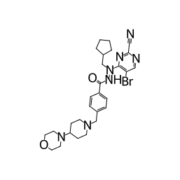 N#Cc1ncc(Br)c(N(CC2CCCC2)NC(=O)c2ccc(CN3CCC(N4CCOCC4)CC3)cc2)n1